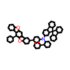 c1ccc(-c2ccccc2N(c2ccc(-c3ccc4oc5c(-c6ccccc6)c6c(cc5c4c3)oc3ccccc36)cc2)c2ccc3c(c2)C2(c4ccccc4-c4ccccc42)c2ccccc2-3)cc1